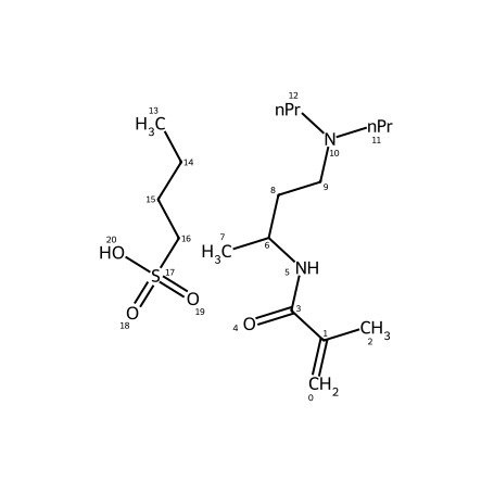 C=C(C)C(=O)NC(C)CCN(CCC)CCC.CCCCS(=O)(=O)O